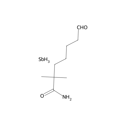 CC(C)(CCCCC=O)C(N)=O.[SbH3]